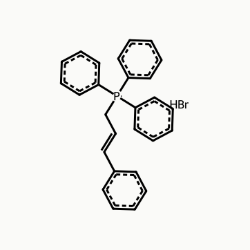 Br.C(=Cc1ccccc1)C[P](c1ccccc1)(c1ccccc1)c1ccccc1